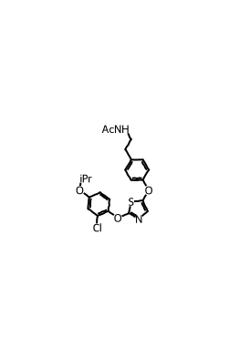 CC(=O)NCCc1ccc(Oc2cnc(Oc3ccc(OC(C)C)cc3Cl)s2)cc1